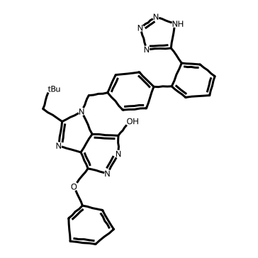 CC(C)(C)Cc1nc2c(Oc3ccccc3)nnc(O)c2n1Cc1ccc(-c2ccccc2-c2nnn[nH]2)cc1